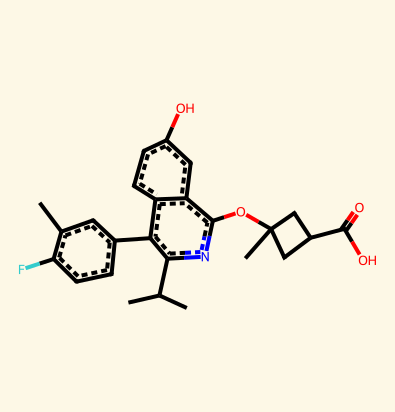 Cc1cc(-c2c(C(C)C)nc(OC3(C)CC(C(=O)O)C3)c3cc(O)ccc23)ccc1F